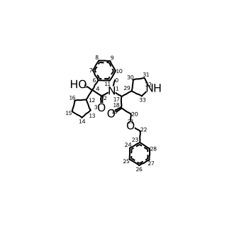 CN(C(=O)C(O)(c1ccccc1)C1CCCC1)C(C(=O)COCc1ccccc1)C1CCNC1